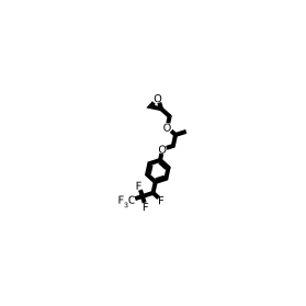 CC(COc1ccc(C(F)C(F)(F)C(F)(F)F)cc1)OCC1CO1